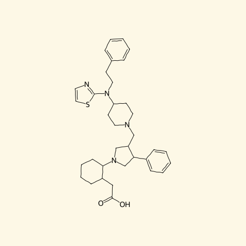 O=C(O)CC1CCCCC1N1CC(CN2CCC(N(CCc3ccccc3)c3nccs3)CC2)C(c2ccccc2)C1